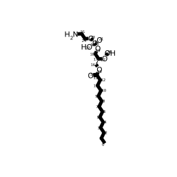 CCCCCCCCCCCCCC(=O)OC[C@H](COP(=O)(O)OCCN)OO